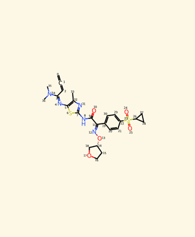 C=C=C/C(=N\c1sc(NC(=O)/C(=N/O[C@@H]2CCOC2)c2ccc(S(=O)(=O)C3CC3)cc2)nc1C)N(C)C